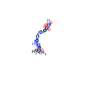 CN(C)C(=O)c1cc2cnc(Nc3ccc(N4CCC(CN5CCN(c6cc7c(cc6F)C(=O)N(N6CCC(=O)NC6=O)C7=O)CC5)CC4)cn3)nc2n1C1CCCC1